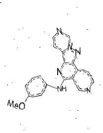 COc1cccc(Nc2nc3c(nn4cnccc34)c3ccncc23)c1